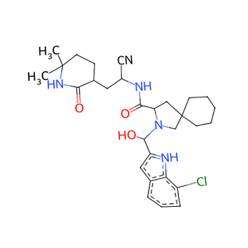 CC1(C)CCC(CC(C#N)NC(=O)C2CC3(CCCCC3)CN2C(O)c2cc3cccc(Cl)c3[nH]2)C(=O)N1